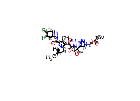 CC1=C2Cc3c(C(=O)C(=O)NC4(c5cn(COC(=O)C(C)(C)C)nn5)COC4)c(C)c(C(=O)Nc4ccc(F)c(F)c4)n3[C@H]12